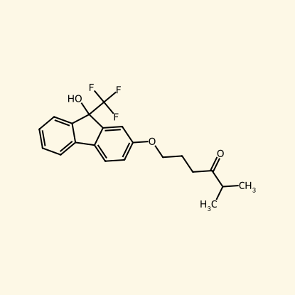 CC(C)C(=O)CCCOc1ccc2c(c1)C(O)(C(F)(F)F)c1ccccc1-2